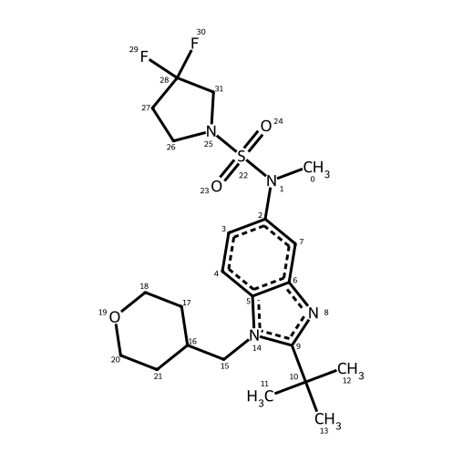 CN(c1ccc2c(c1)nc(C(C)(C)C)n2CC1CCOCC1)S(=O)(=O)N1CCC(F)(F)C1